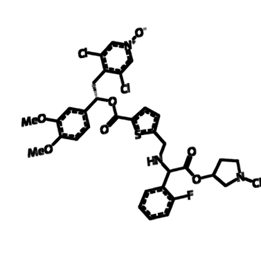 COc1ccc([C@H](Cc2c(Cl)c[n+]([O-])cc2Cl)OC(=O)c2ccc(CNC(C(=O)OC3CCN(C)C3)c3ccccc3F)s2)cc1OC